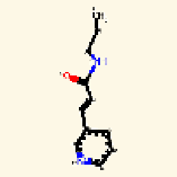 CCCNC(=O)/C=C/c1cccnc1